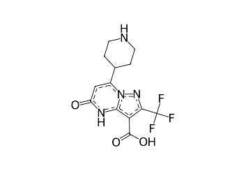 O=C(O)c1c(C(F)(F)F)nn2c(C3CCNCC3)cc(=O)[nH]c12